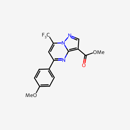 COC(=O)c1cnn2c(C(F)(F)F)cc(-c3ccc(OC)cc3)nc12